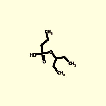 CCCP(=O)(O)OC(CC)CC